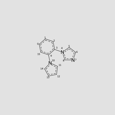 c1ccc(-n2ccnc2)c(-n2cccc2)c1